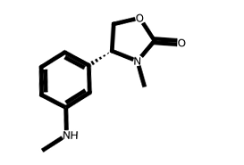 CNc1cccc([C@@H]2COC(=O)N2C)c1